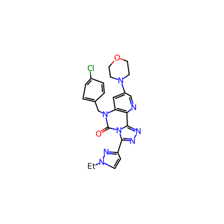 CCn1ccc(-c2nnc3c4ncc(N5CCOCC5)cc4n(Cc4ccc(Cl)cc4)c(=O)n23)n1